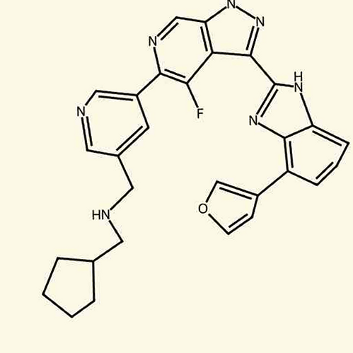 Fc1c(-c2cncc(CNCC3CCCC3)c2)ncc2[nH]nc(-c3nc4c(-c5ccoc5)cccc4[nH]3)c12